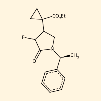 CCOC(=O)C1(C2CN([C@@H](C)c3ccccc3)C(=O)C2F)CC1